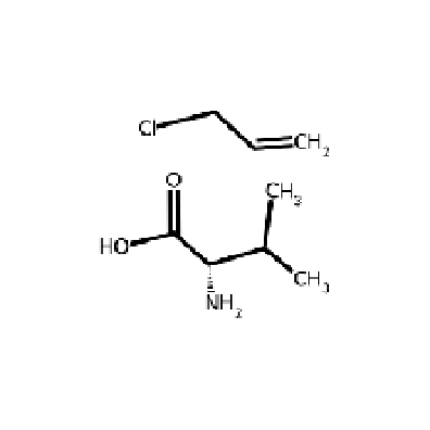 C=CCCl.CC(C)[C@H](N)C(=O)O